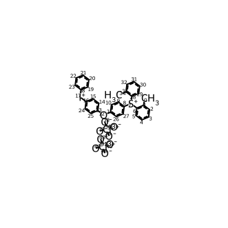 Cc1ccccc1[S+](c1ccc(Oc2ccc([I+]c3ccccc3)cc2)cc1)c1ccccc1C.[O-][Cl+3]([O-])([O-])[O-].[O-][Cl+3]([O-])([O-])[O-]